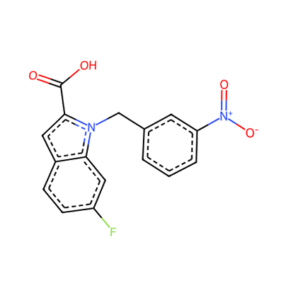 O=C(O)c1cc2ccc(F)cc2n1Cc1cccc([N+](=O)[O-])c1